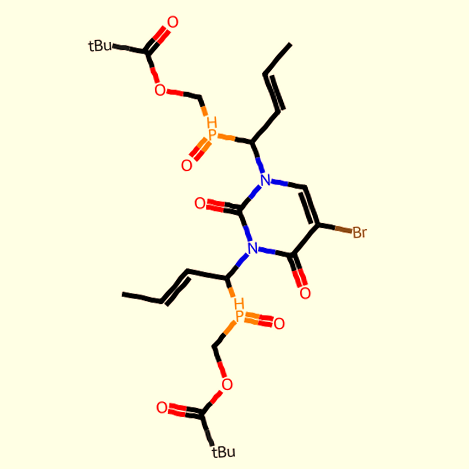 CC=CC(n1cc(Br)c(=O)n(C(C=CC)[PH](=O)COC(=O)C(C)(C)C)c1=O)[PH](=O)COC(=O)C(C)(C)C